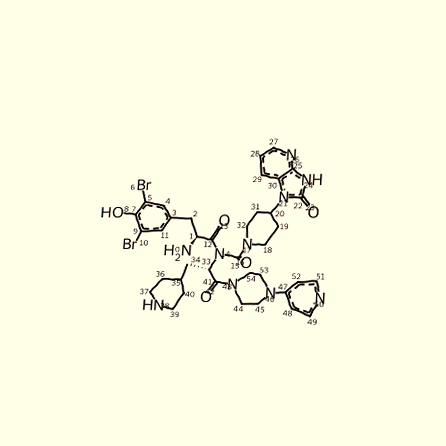 N[C@@H](Cc1cc(Br)c(O)c(Br)c1)C(=O)N(C(=O)N1CCC(n2c(=O)[nH]c3ncccc32)CC1)[C@@H](CC1CCNCC1)C(=O)N1CCN(c2ccncc2)CC1